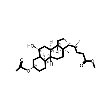 COC(=O)CC[C@@H](C)[C@H]1CC[C@H]2[C@@H]3C[C@@H](O)C4C[C@@H](OC(C)=O)CC[C@]4(C)[C@H]3CC[C@]12C